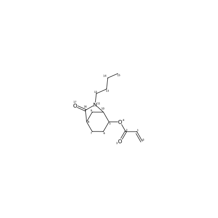 C=CC(=O)OC1CCC2CC1N(CCCC)C2=O